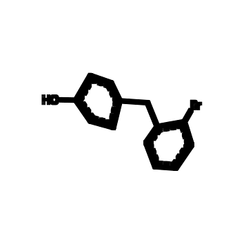 Oc1ccc(Cc2ccccc2Br)cc1